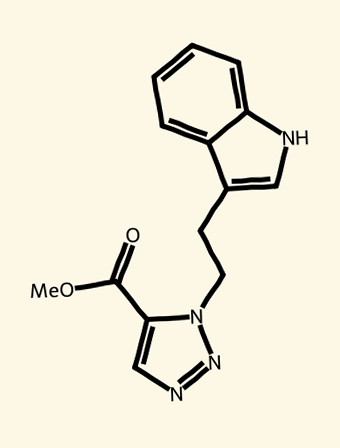 COC(=O)c1cnnn1CCc1c[nH]c2ccccc12